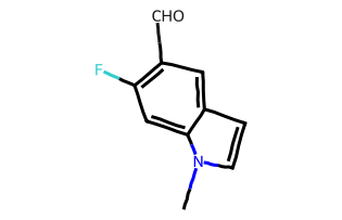 Cn1ccc2cc(C=O)c(F)cc21